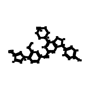 COc1cc(Nc2nc3c(c(N4CCNCC4)n2)CCC3c2ccc(F)cc2)ccc1-n1cnc(Cl)c1